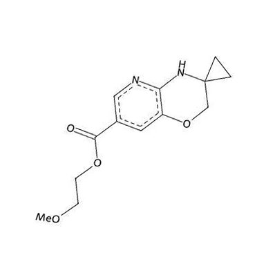 COCCOC(=O)c1cnc2c(c1)OCC1(CC1)N2